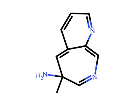 CC1(N)C=NC=c2ncccc2=C1